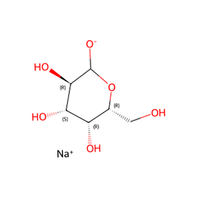 [Na+].[O-]C1O[C@H](CO)[C@H](O)[C@H](O)[C@H]1O